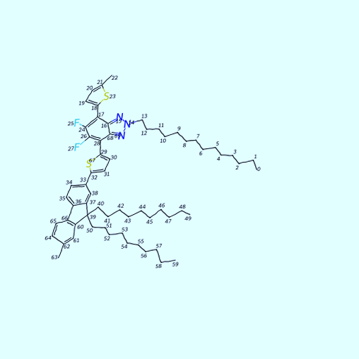 CCCCCCCCCCCCCCn1nc2c(-c3ccc(C)s3)c(F)c(F)c(-c3ccc(-c4ccc5c(c4)C(CCCCCCCCCC)(CCCCCCCCCC)c4cc(C)ccc4-5)s3)c2n1